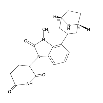 Cn1c(=O)n(C2CCC(=O)NC2=O)c2cccc(C3C[C@H]4CC[C@@H](C3)N4)c21